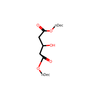 CCCCCCCCCCOC(=O)CC(O)CC(=O)OCCCCCCCCCC